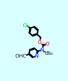 CC(C)(C)N(C(=O)OCc1ccc(Cl)cc1)c1ccc(C=O)cn1